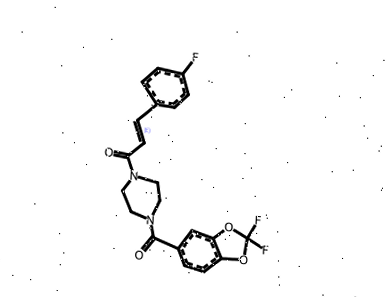 O=C(/C=C/c1ccc(F)cc1)N1CCN(C(=O)c2ccc3c(c2)OC(F)(F)O3)CC1